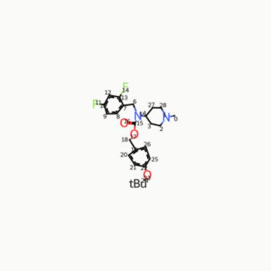 CN1CCC(N(Cc2ccc(F)cc2F)C(=O)OCc2ccc(OC(C)(C)C)cc2)CC1